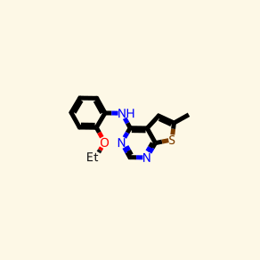 CCOc1ccccc1Nc1ncnc2sc(C)cc12